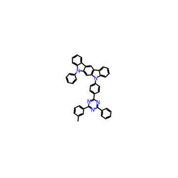 Cc1cccc(-c2nc(-c3ccccc3)nc(-c3ccc(-n4c5ccccc5c5cc6c7ccccc7n(-c7ccccc7)c6cc54)cc3)n2)c1